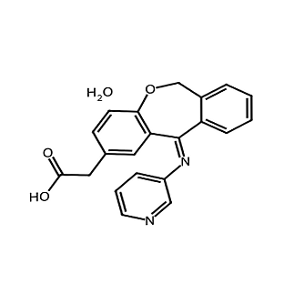 O.O=C(O)Cc1ccc2c(c1)/C(=N\c1cccnc1)c1ccccc1CO2